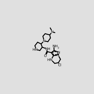 CN(C)C1CCN(C2CCNCC2NC(=O)c2c(N)nn3c2NCC(Cl)C3)CC1